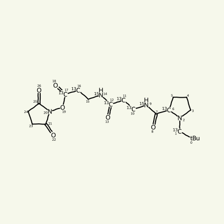 CC(C)(C)[13CH2]N1CCC[13CH]1C(=O)[15NH][13CH2][13CH2][13C](=O)[15NH]C[13CH2][13C](=O)ON1C(=O)CCC1=O